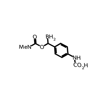 BC(OC(=O)NC)c1ccc(NC(=O)O)cc1